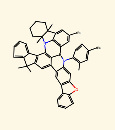 Cc1cc(C(C)(C)C)ccc1N1B2c3cc(C(C)(C)C)cc4c3N(c3c2c(cc2c3-c3ccccc3C2(C)C)-c2cc3c(cc21)oc1ccccc13)C1(C)CCCCC41C